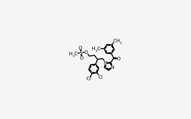 Cc1cc(C)cc(C(=O)c2nccn2CC(CCOS(C)(=O)=O)c2ccc(Cl)c(Cl)c2)c1